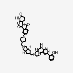 O=C1CCC(N2C(=O)c3ccc(N4CCC(CN5C[C@H]6CC(CN7CCN8c9cc(-c%10ccccc%10O)nnc9NC[C@H]8C7)C[C@H]6C5)CC4)cc3C2=O)C(=O)N1